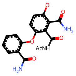 CC(=O)NC(=O)c1c(Oc2ccccc2C(N)=O)ccc([O])c1C(N)=O